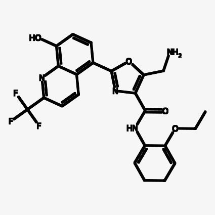 CCOC1=CCCC=C1NC(=O)c1nc(-c2ccc(O)c3nc(C(F)(F)F)ccc23)oc1CN